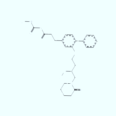 CNC(=N)NC(=O)CCc1ccc(-c2ccccc2)c(OCCC(CN2CCCCC2=O)OC)c1